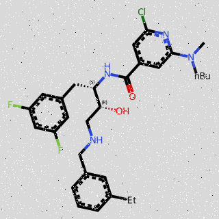 CCCCN(C)c1cc(C(=O)N[C@@H](Cc2cc(F)cc(F)c2)[C@H](O)CNCc2cccc(CC)c2)cc(Cl)n1